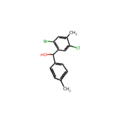 Cc1ccc(C(O)c2cc(Cl)c(C)cc2Br)cc1